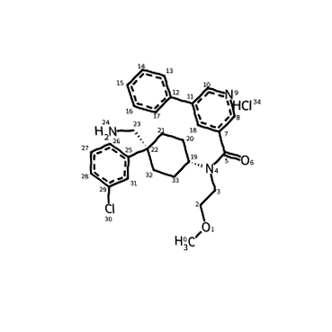 COCCN(C(=O)c1cncc(-c2ccccc2)c1)[C@H]1CC[C@](CN)(c2cccc(Cl)c2)CC1.Cl